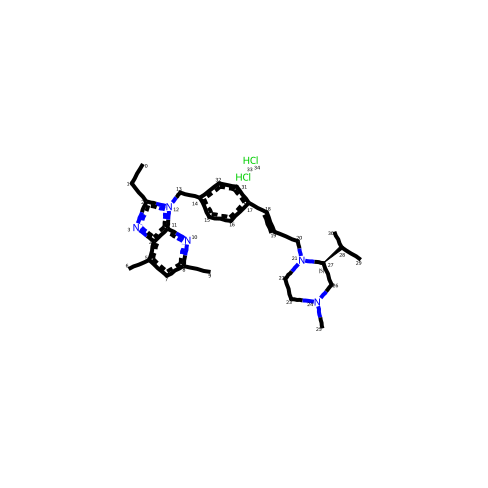 CCc1nc2c(C)cc(C)nc2n1Cc1ccc(C=CCN2CCN(C)C[C@@H]2C(C)C)cc1.Cl.Cl